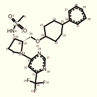 CS(=O)(=O)N[C@H]1CCN(c2cc(C(F)(F)F)ncn2)[C@H]1COC1CCC(c2ccccc2)CC1